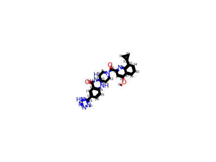 COc1cc(C(=O)N2CCC3(CC2)NC(=O)c2cc(-c4nnn[nH]4)ccc2N3)nc2c(C3CC3)cccc12